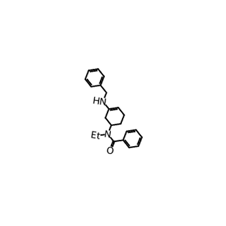 CCN(C(=O)c1ccccc1)C1CCC=C(NCc2ccccc2)C1